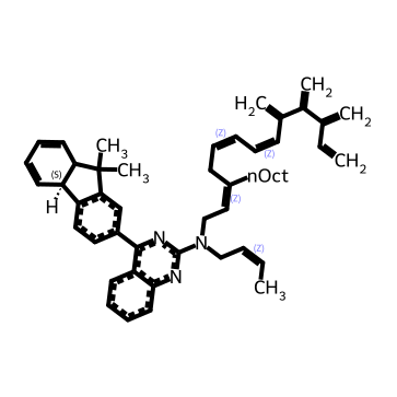 C=CC(=C)C(=C)C(=C)/C=C\C=C/C/C(=C\CN(C/C=C\C)c1nc(-c2ccc3c(c2)C(C)(C)C2C=CC=C[C@H]32)c2ccccc2n1)CCCCCCCC